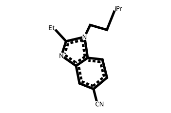 CCc1nc2cc(C#N)ccc2n1CCC(C)C